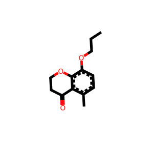 CCCOc1ccc(C)c2c1OCCC2=O